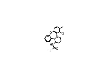 O=C(NC1CCCN2c3c(ccc(Cl)c3Cl)Oc3ccccc3C12)C(F)(F)F